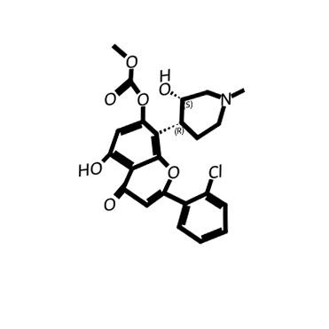 COC(=O)Oc1cc(O)c2c(=O)cc(-c3ccccc3Cl)oc2c1[C@H]1CCN(C)C[C@H]1O